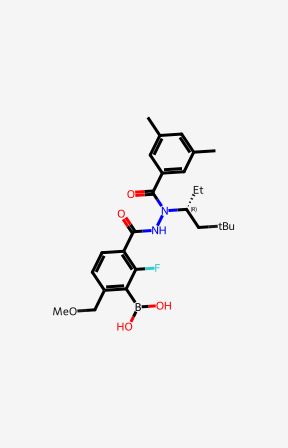 CC[C@H](CC(C)(C)C)N(NC(=O)c1ccc(COC)c(B(O)O)c1F)C(=O)c1cc(C)cc(C)c1